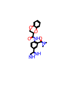 CN(C)C(=O)c1cc(C(=N)C=N)ccc1NC(=O)C1COc2ccccc2O1